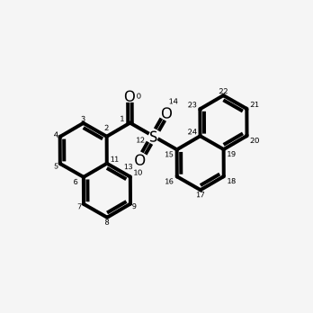 O=C(c1cccc2ccccc12)S(=O)(=O)c1cccc2ccccc12